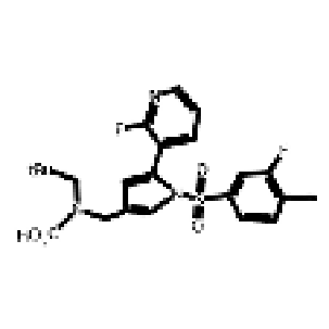 Cc1ccc(S(=O)(=O)n2cc(CN(CC(C)(C)C)C(=O)O)cc2-c2cccnc2F)cc1F